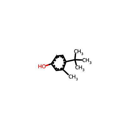 Cc1cc(O)[c]cc1C(C)(C)C